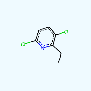 CCc1nc(Cl)ccc1Cl